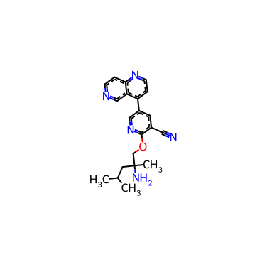 CC(C)CC(C)(N)COc1ncc(-c2ccnc3ccncc23)cc1C#N